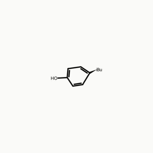 CC[C@H](C)c1ccc(O)cc1